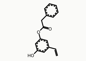 C=Cc1cc(O)cc(OC(=O)Cc2ccccc2)c1